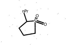 CCCC1CCCS1(=O)=O